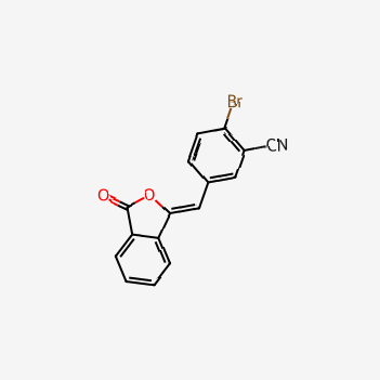 N#Cc1cc(C=C2OC(=O)c3ccccc32)ccc1Br